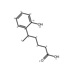 CC(CCCC(=O)O)c1ccccc1O